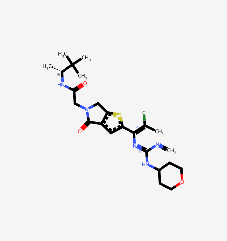 C=N/C(=N\C(=C(/C)Cl)c1cc2c(s1)CN(CC(=O)N[C@H](C)C(C)(C)C)C2=O)NC1CCOCC1